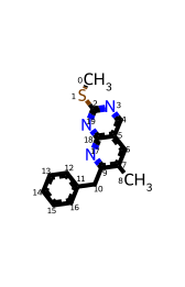 CSc1ncc2cc(C)c(Cc3ccccc3)nc2n1